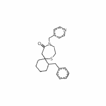 O=C1CC2(CCCCC2Cc2ccccc2)SCCN1Cc1ccncc1